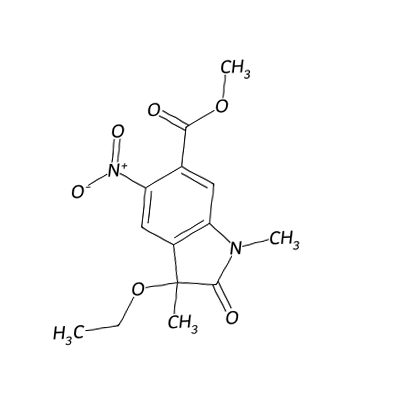 CCOC1(C)C(=O)N(C)c2cc(C(=O)OC)c([N+](=O)[O-])cc21